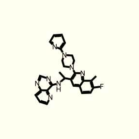 Cc1c(F)ccc2cc(C(C)Nc3ncnc4cccnc34)c(N3CCN(c4ccccn4)CC3)nc12